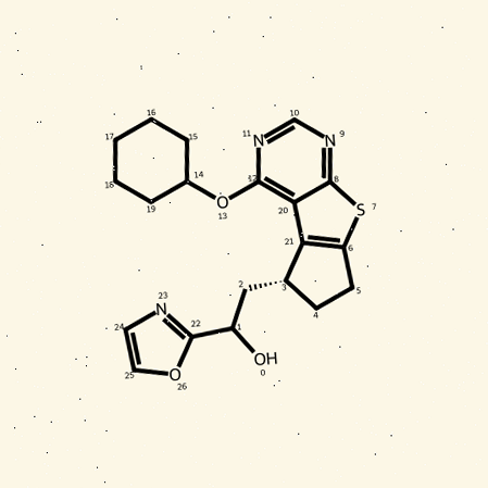 OC(C[C@H]1CCc2sc3ncnc(OC4CCCCC4)c3c21)c1ncco1